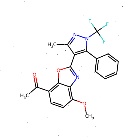 COc1ccc(C(C)=O)c2oc(-c3c(C)nn(C(F)(F)F)c3-c3ccccc3)nc12